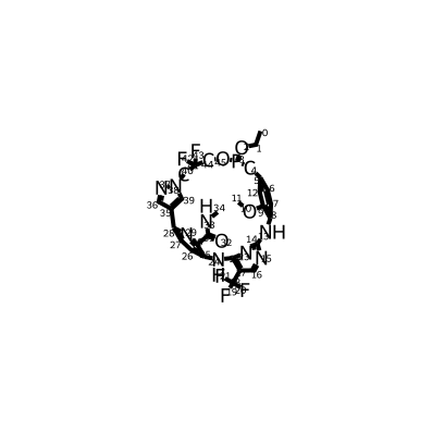 CCOP1Cc2ccc(c(OC)c2)Nc2ncc(C(F)(F)F)c(n2)Nc2ccc(nc2C(=O)NC)-c2cnn(c2)CC(F)(F)CO1